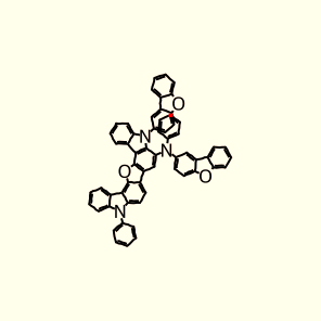 c1ccc(N(c2ccc3oc4ccccc4c3c2)c2cc3c4ccc5c(c6ccccc6n5-c5ccccc5)c4oc3c3c4ccccc4n(-c4ccc5oc6ccccc6c5c4)c23)cc1